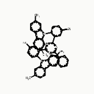 Cc1ccc2c3ccc(C)cc3n(-c3ccc(C#N)cc3-c3nc(-c4ccccc4)nc(-c4cc(C#N)ccc4-n4c5cc(C)ccc5c5ccc(C)cc54)n3)c2c1